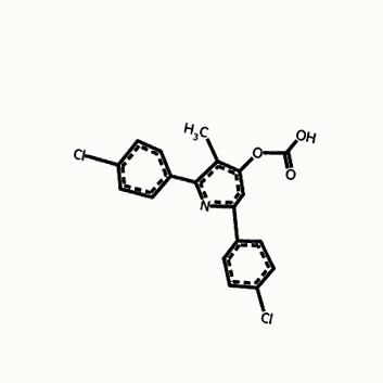 Cc1c(OC(=O)O)cc(-c2ccc(Cl)cc2)nc1-c1ccc(Cl)cc1